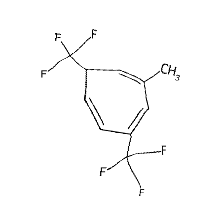 CC1=CC(C(F)(F)F)C=CC(C(F)(F)F)=C1